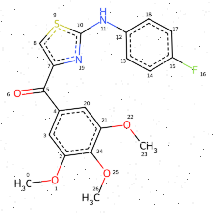 COc1cc(C(=O)c2csc(Nc3ccc(F)cc3)n2)cc(OC)c1OC